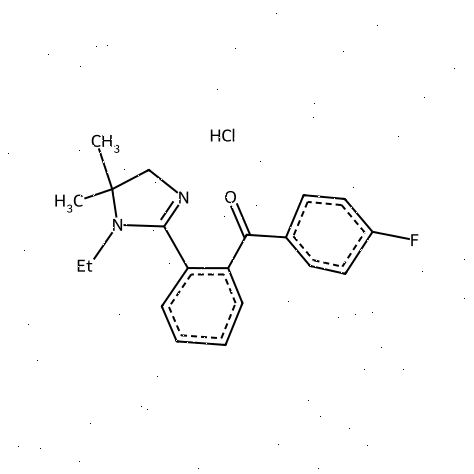 CCN1C(c2ccccc2C(=O)c2ccc(F)cc2)=NCC1(C)C.Cl